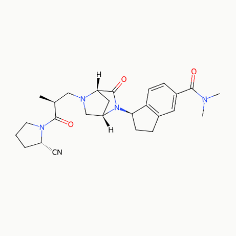 C[C@@H](CN1C[C@@H]2C[C@H]1C(=O)N2[C@@H]1CCc2cc(C(=O)N(C)C)ccc21)C(=O)N1CCC[C@H]1C#N